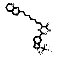 CC(C)(C)n1ncc2ccc(C(=O)NC(CCCCCCCc3ccc4c(n3)NCCC4)C(=O)O)cc21